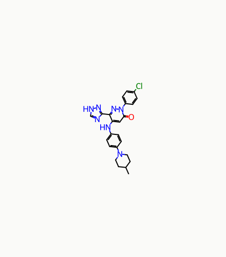 CC1CCN(c2ccc(Nc3cc(=O)n(-c4ccc(Cl)cc4)nc3-c3nc[nH]n3)cc2)CC1